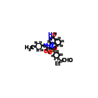 CCC(C=O)c1ccc(S(=O)(=O)NC(=O)NC2CCC(C)CC2)cc1.O=c1[nH]cnc2ccccc12